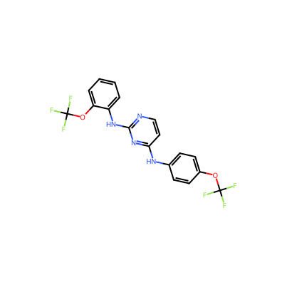 FC(F)(F)Oc1ccc(Nc2ccnc(Nc3ccccc3OC(F)(F)F)n2)cc1